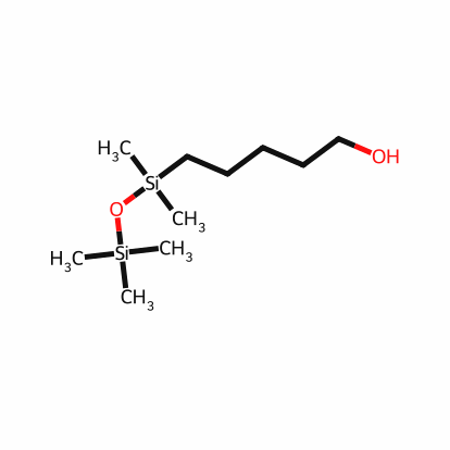 C[Si](C)(C)O[Si](C)(C)CCCCCO